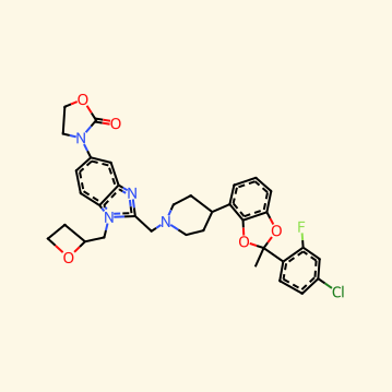 CC1(c2ccc(Cl)cc2F)Oc2cccc(C3CCN(Cc4nc5cc(N6CCOC6=O)ccc5n4CC4CCO4)CC3)c2O1